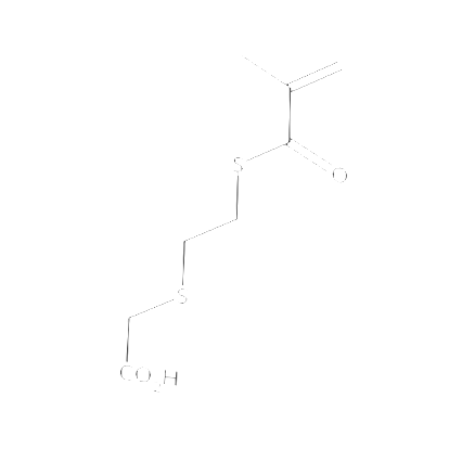 C=C(C)C(=O)SCCSCC(=O)O